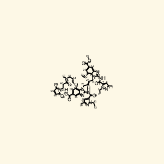 CCn1nc(C)cc1C(=O)Nc1nc2cc(C(=O)OC)cc(OC)c2n1CC=CCn1c(NC(=O)c2cc(C)nn2CC)nc2cc(C(=O)O)cc(OCCCN(C)C(=O)CCN3C(=O)C=CC3=O)c21